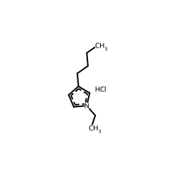 CCCCc1ccn(CC)c1.Cl